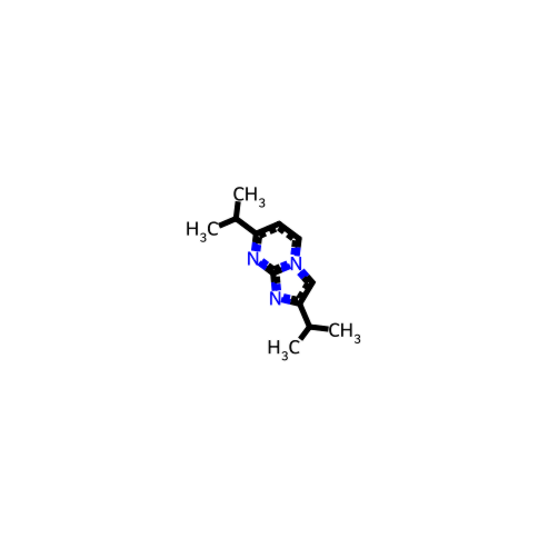 CC(C)c1ccn2cc(C(C)C)nc2n1